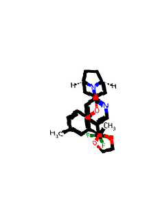 Cc1ccc(O[C@H]2C[C@H]3CC[C@@H](C2)N3c2ccc(C(F)(F)F)cn2)c(C2(C)OCCO2)c1